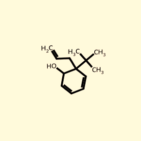 C=CCC1(C(C)(C)C)C=CC=CC1O